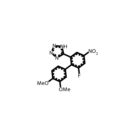 COc1ccc(-c2c(F)cc([N+](=O)[O-])cc2-c2nnn[nH]2)cc1OC